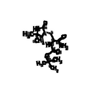 CC1(C)C[C@@H](CC(NC(=O)OC(C)(C)C)C(N)=O)C(=O)N1